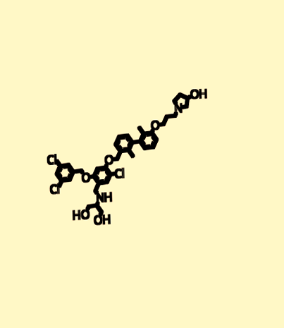 Cc1c(COc2cc(OCc3cc(Cl)cc(Cl)c3)c(CNC(CO)CO)cc2Cl)cccc1-c1cccc(OCCCN2CCC(O)C2)c1C